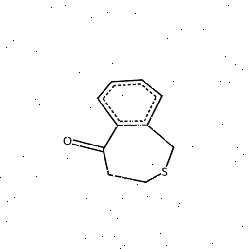 O=C1CCSCc2ccccc21